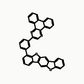 c1cc(-c2cnc3c4ccccc4c4ccccc4c3n2)cc(-c2cccc3c2oc2cc4c(cc23)oc2ccccc24)c1